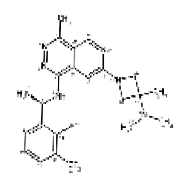 Cc1nnc(N[C@H](N)c2cccc(C(F)(F)F)c2F)c2cc(N3CC(C)(N(C)C)C3)ncc12